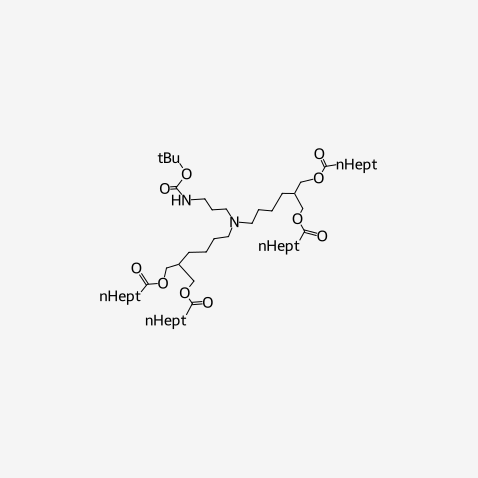 CCCCCCCC(=O)OCC(CCCCN(CCCCC(COC(=O)CCCCCCC)COC(=O)CCCCCCC)CCCNC(=O)OC(C)(C)C)COC(=O)CCCCCCC